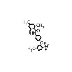 Cc1cc(C)c(C(=O)Nc2ccc(Oc3cc(C)ccc3C(F)(F)F)cc2)c(F)c1